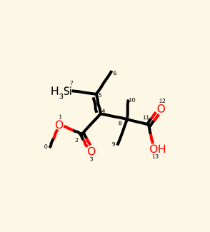 COC(=O)C(=C(C)[SiH3])C(C)(C)C(=O)O